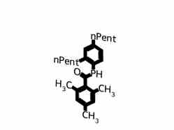 CCCCCc1ccc(PC(=O)c2c(C)cc(C)cc2C)c(CCCCC)c1